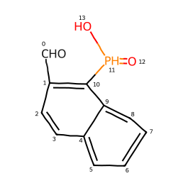 O=Cc1ccc2ccccc2c1[PH](=O)O